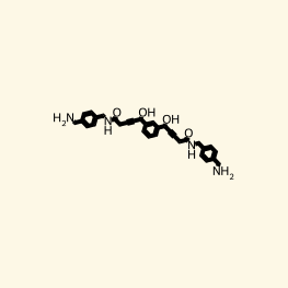 NCc1ccc(CNC(=O)CC#CC(O)c2cccc(C(O)C#CCC(=O)NCc3ccc(CN)cc3)c2)cc1